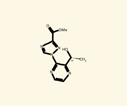 COC(=O)c1ncn(-c2nccnc2[C@@H](C)O)n1